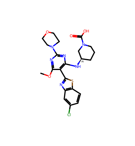 COc1nc(N2CCOCC2)nc(N[C@@H]2CCCN(C(=O)O)C2)c1-c1nc2cc(Cl)ccc2s1